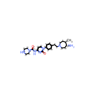 C[C@@H]1CCN(CCc2ccc(-n3ccc(NC(=O)N4CCNCC4)nc3=O)cc2)CC[C@H]1N